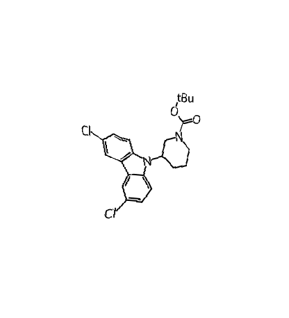 CC(C)(C)OC(=O)N1CCCC(n2c3ccc(Cl)cc3c3cc(Cl)ccc32)C1